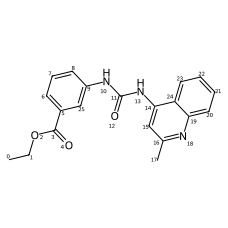 CCOC(=O)c1cccc(NC(=O)Nc2cc(C)nc3ccccc23)c1